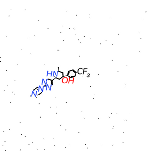 C[C@H]1CC(O)(c2ccc(C(F)(F)F)cc2)C[C@@H](c2cnc(N3CCN(C)CC3)nc2)N1